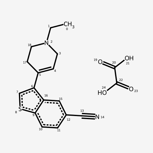 CCN1CC=C(c2csc3ccc(C#N)cc23)CC1.O=C(O)C(=O)O